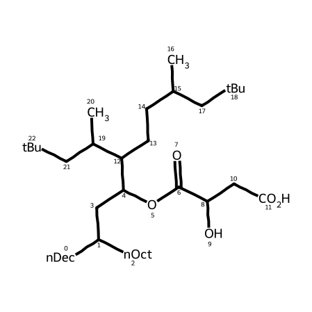 CCCCCCCCCCC(CCCCCCCC)CC(OC(=O)C(O)CC(=O)O)C(CCC(C)CC(C)(C)C)C(C)CC(C)(C)C